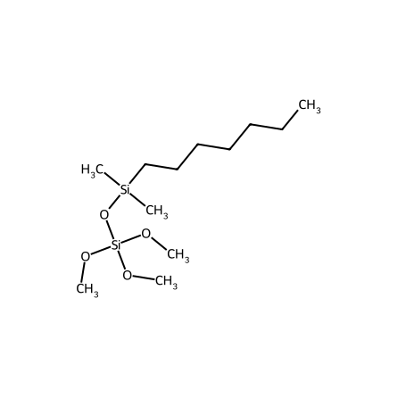 CCCCCCC[Si](C)(C)O[Si](OC)(OC)OC